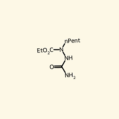 CCCCCN(NC(N)=O)C(=O)OCC